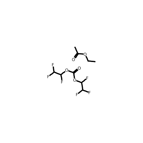 CCOC(C)=O.O=C(OC(F)C(F)F)OC(F)C(F)F